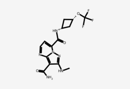 CNc1nn2c(C(=O)N[C@H]3C[C@@H](OC(F)(F)F)C3)ccnc2c1C(N)=O